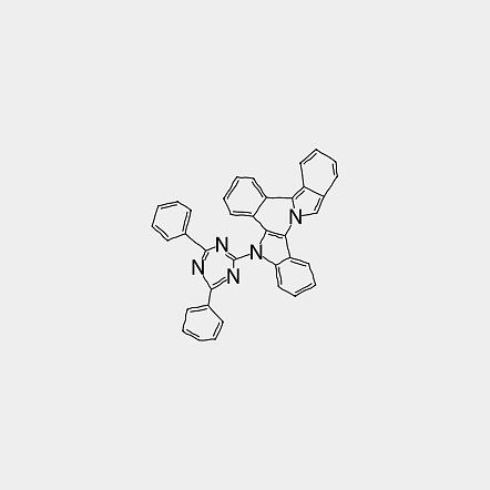 c1ccc(-c2nc(-c3ccccc3)nc(-n3c4ccccc4c4c3c3ccccc3c3c5ccccc5cn34)n2)cc1